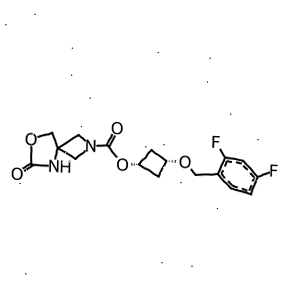 O=C1NC2(CO1)CN(C(=O)O[C@H]1C[C@@H](OCc3ccc(F)cc3F)C1)C2